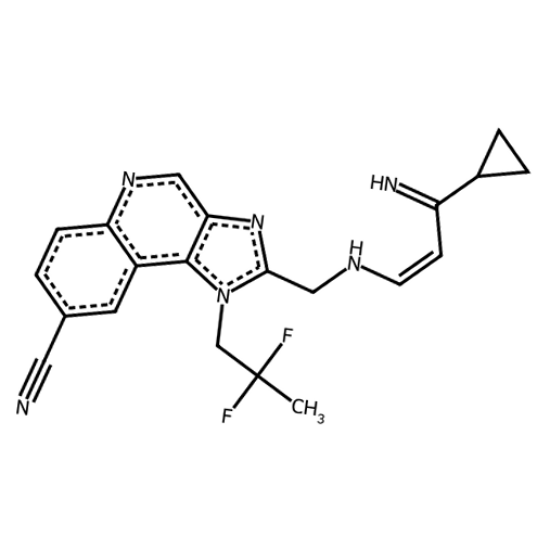 CC(F)(F)Cn1c(CN/C=C\C(=N)C2CC2)nc2cnc3ccc(C#N)cc3c21